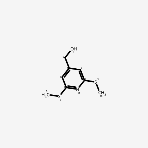 CSc1cc(CO)cc(SC)n1